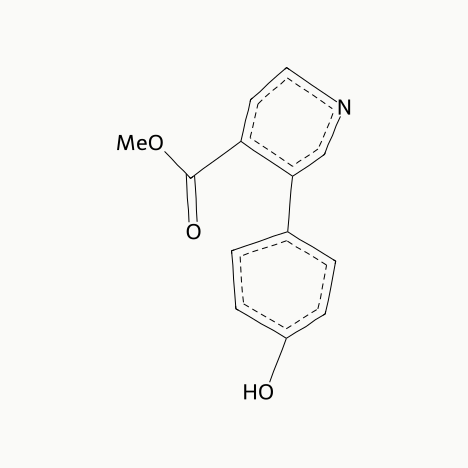 COC(=O)c1ccncc1-c1ccc(O)cc1